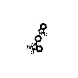 O=C1c2ccccc2CN1C1CCC(c2n[nH]c(=O)c3ccccc23)CC1